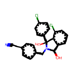 N#Cc1ccc(CN2C(O)c3cccc(Cl)c3C2(O)c2ccc(Cl)cc2)cc1